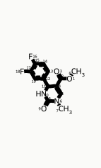 COC(=O)C1=CN(C)C(=O)NC1c1ccc(F)c(F)c1